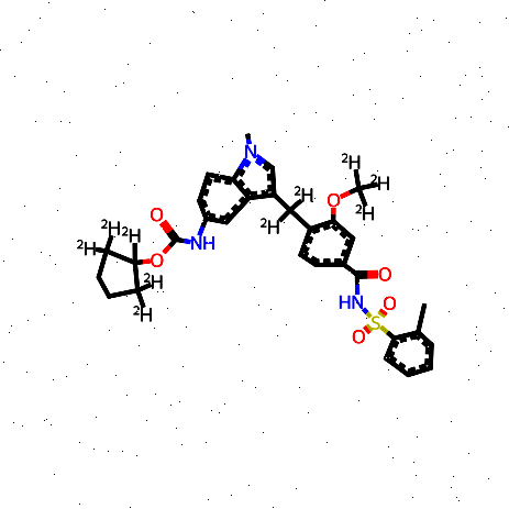 [2H]C([2H])([2H])Oc1cc(C(=O)NS(=O)(=O)c2ccccc2C)ccc1C([2H])([2H])c1cn(C)c2ccc(NC(=O)OC3([2H])C([2H])([2H])CCC3([2H])[2H])cc12